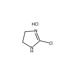 Cl.ClC1=NCCN1